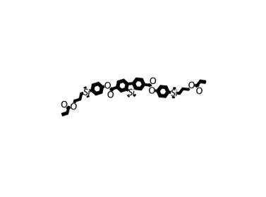 C=CC(=O)OCCC[Si](C)(C)c1ccc(OC(=O)c2ccc3c(c2)[Si](C)(C)c2cc(C(=O)Oc4ccc([Si](C)(C)CCCOC(=O)C=C)cc4)ccc2-3)cc1